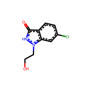 O=c1[nH]n(CCO)c2cc(Cl)ccc12